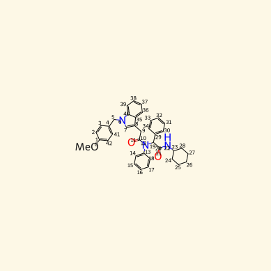 COc1ccc(Cn2cc(CC(=O)N(c3ccccc3)C(C(=O)NC3CCCCC3)c3ccccc3)c3ccccc32)cc1